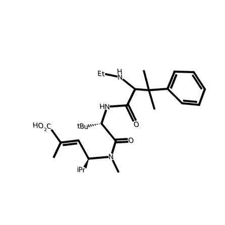 CCNC(C(=O)N[C@H](C(=O)N(C)[C@H](/C=C(\C)C(=O)O)C(C)C)C(C)(C)C)C(C)(C)c1ccccc1